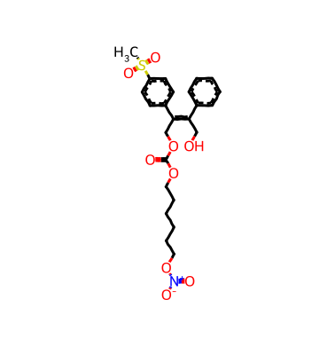 CS(=O)(=O)c1ccc(/C(COC(=O)OCCCCCCO[N+](=O)[O-])=C(/CO)c2ccccc2)cc1